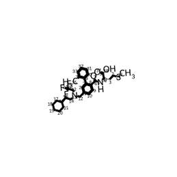 CSCC[C@H](NC(=O)c1ccc(CN(CCC2CCCCC2)CC(F)(F)F)cc1-c1ccccc1C)C(=O)O